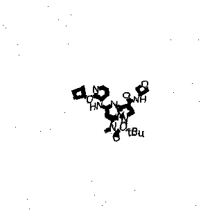 CN(C(=O)OC(C)(C)C)c1cc(Nc2cccnc2OC2CCC2)nc2c(C(=O)NC3COC3)cnn12